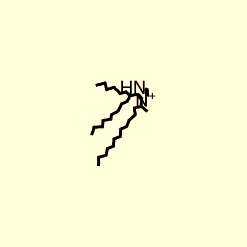 CCCCCCCCCCCCC(C)[n+]1cc[nH]c1C(CCCCCC)CCCCCCCCC